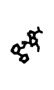 CSc1nc(NCc2ccccc2-c2ccco2)n2ncc(C(C)C)c2n1